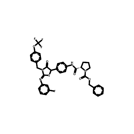 O=C(Nc1ccc(C2S/C(=N\c3cccc(F)c3)N(Cc3ccc(OC(F)(F)F)cc3)C2=O)cc1)[C@@H]1CCCN1C(=O)OCc1ccccc1